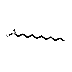 FCCCCCCCCCC[SiH2]Cl